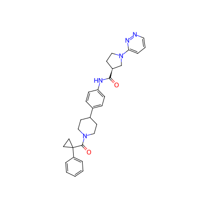 O=C(Nc1ccc(C2CCN(C(=O)C3(c4ccccc4)CC3)CC2)cc1)[C@H]1CCN(c2cccnn2)C1